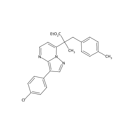 CCOC(=O)C(C)(Cc1ccc(C)cc1)c1ccnc2c(-c3ccc(Cl)cc3)cnn12